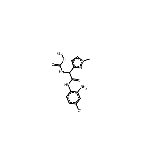 Cn1ccc(C(NC(=O)OC(C)(C)C)C(=O)Nc2ccc(Cl)cc2N)n1